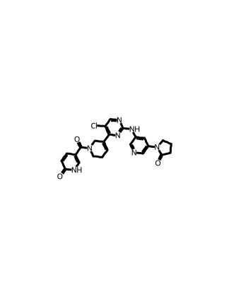 O=C(c1ccc(=O)[nH]c1)N1CCC=C(c2nc(Nc3cncc(N4CCCC4=O)c3)ncc2Cl)C1